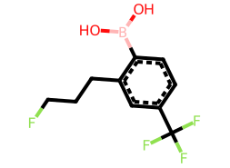 OB(O)c1ccc(C(F)(F)F)cc1CCCF